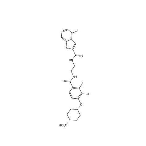 O=C(NCCNC(=O)c1ccc(O[C@H]2CC[C@@H](C(=O)O)CC2)c(F)c1F)c1cc2c(F)cccc2s1